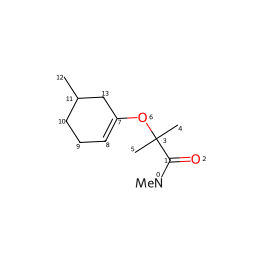 CNC(=O)C(C)(C)OC1=CCCC(C)C1